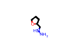 NNCC1CCCO1